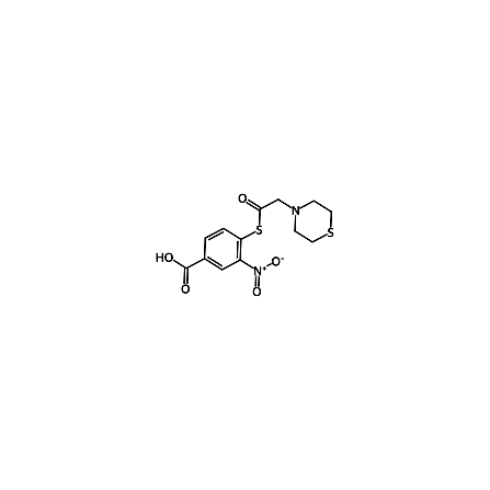 O=C(CN1CCSCC1)Sc1ccc(C(=O)O)cc1[N+](=O)[O-]